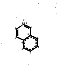 [c]1cccc2c1C=[N+]C=C2